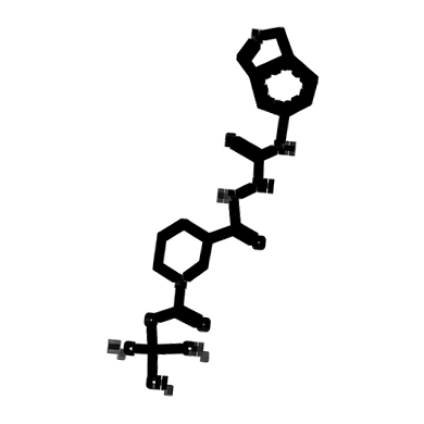 CC(C)(C)OC(=O)N1CCCC(C(=O)NNC(=S)Nc2ccc3c(c2)C=NC3)C1